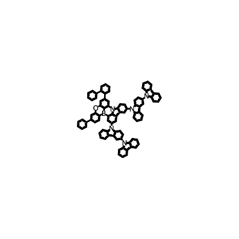 c1ccc(-c2ccc3c(c2)Oc2cc(-c4ccccc4-c4ccccc4)cc4c2B3c2cc(-n3c5ccccc5c5cc(-n6c7ccccc7c7ccccc76)ccc53)cc3c5cc(-n6c7ccccc7c7cc(-n8c9ccccc9c9ccccc98)ccc76)ccc5n-4c23)cc1